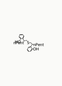 CCCCCC(CSCC(CCCCC)c1ccccc1O)c1ccccc1O